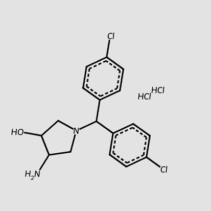 Cl.Cl.NC1CN(C(c2ccc(Cl)cc2)c2ccc(Cl)cc2)CC1O